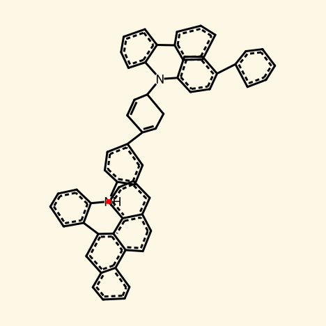 C1=CC(N(c2ccc(-c3ccccc3)cc2)c2ccccc2-c2ccccc2)CC=C1c1ccc(Nc2ccccc2-c2cc3ccccc3c3ccc4ccccc4c23)cc1